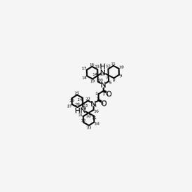 O=C(CC(=O)N1CC2(CCCCC2)NC2(CCCCC2)C1)N1CC2(CCCCC2)NC2(CCCCC2)C1